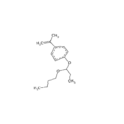 C=C(C)c1ccc(OC(CC)OCCCC)cc1